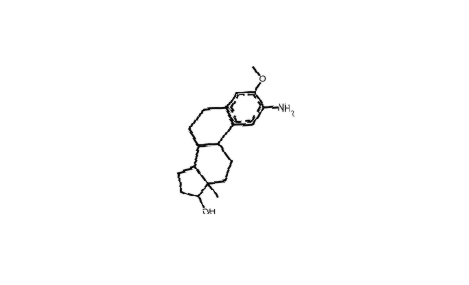 COc1cc2c(cc1N)C1CCC3(C)C(O)CCC3C1CC2